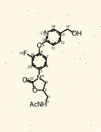 CC(=O)NCC1CN(c2ccc(Oc3ccc(CO)cn3)c(F)c2)C(=O)O1